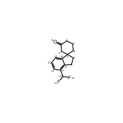 O=C1CCCC2(CCc3c(C(F)F)cccc32)C1